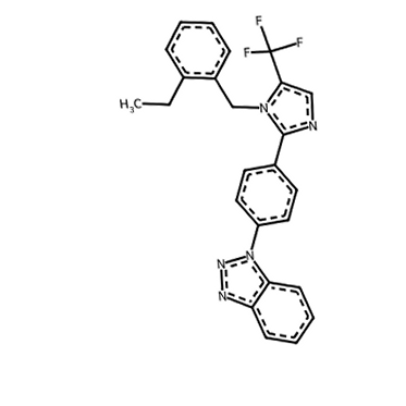 CCc1ccccc1Cn1c(C(F)(F)F)cnc1-c1ccc(-n2nnc3ccccc32)cc1